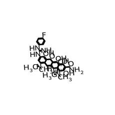 CN(C)c1cc(NC(=N)Nc2ccc(F)cc2)c(O)c2c1C[C@H]1C[C@H]3[C@H](N(C)C)C(O)=C(C(N)=O)C(=O)[C@@]3(O)C(O)=C1C2=O